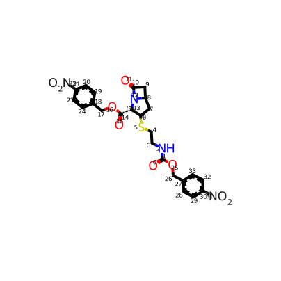 O=C(NCCS[C@@H]1CC2CC(=O)N2[C@H]1C(=O)OCc1ccc([N+](=O)[O-])cc1)OCc1ccc([N+](=O)[O-])cc1